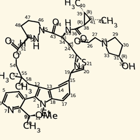 CCn1c(-c2cccnc2[C@H](C)OC)c2c3cc(ccc31)-c1csc(n1)[C@@H](OCCN1CC[C@@H](O)C1)[C@H](NC(=O)[C@H]1[C@H](C)[C@@H]1C)C(=O)N1CCC[C@H](N1)C(=O)OCC(C)(C)C2